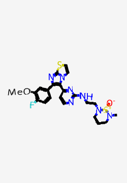 COc1cc(-c2nc3sccn3c2-c2ccnc(NCCN3CCCN(C)[S+]3[O-])n2)ccc1F